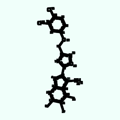 Cc1nc2sc(-c3nc(COc4ccc(Cl)c(Cl)c4)no3)c(N)c2c(C)c1C